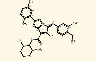 [C-]#[N+]C1=C(C(=O)OC2C(C)CCCC2C)c2nc(-c3cc(C)ccc3OC)nn2/C1=N/c1ccc(CO)c(OC)c1